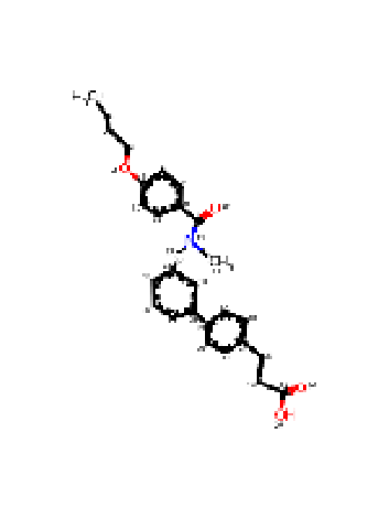 CCCCOc1ccc(C(=O)N(C)Cc2cccc(-c3ccc(CCC(=O)O)cc3)c2)cc1